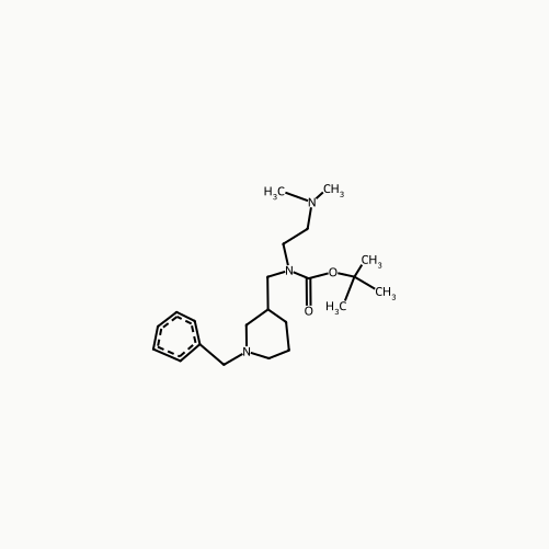 CN(C)CCN(CC1CCCN(Cc2ccccc2)C1)C(=O)OC(C)(C)C